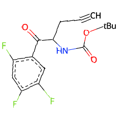 C#CCC(NC(=O)OC(C)(C)C)C(=O)c1cc(F)c(F)cc1F